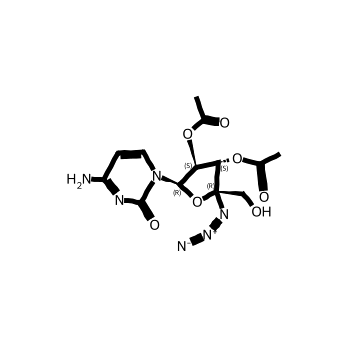 CC(=O)O[C@@H]1[C@H](n2ccc(N)nc2=O)O[C@@](CO)(N=[N+]=[N-])[C@H]1OC(C)=O